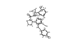 Cc1nnc(C2CCCN2C(=O)NC2(c3ccccc3C(F)(F)F)CC2)n1Cc1ccc(Cl)cc1